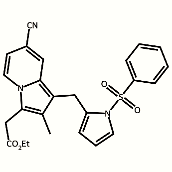 CCOC(=O)Cc1c(C)c(Cc2cccn2S(=O)(=O)c2ccccc2)c2cc(C#N)ccn12